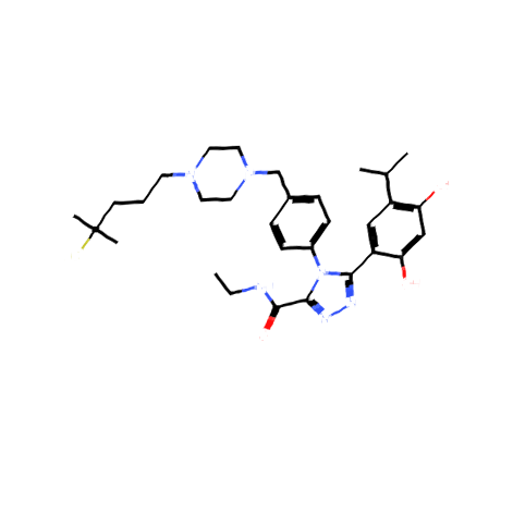 CCNC(=O)c1nnc(-c2cc(C(C)C)c(O)cc2O)n1-c1ccc(CN2CCN(CCCC(C)(C)S)CC2)cc1